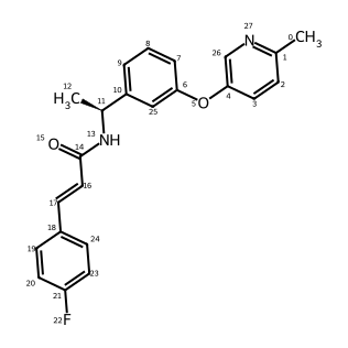 Cc1ccc(Oc2cccc([C@H](C)NC(=O)C=Cc3ccc(F)cc3)c2)cn1